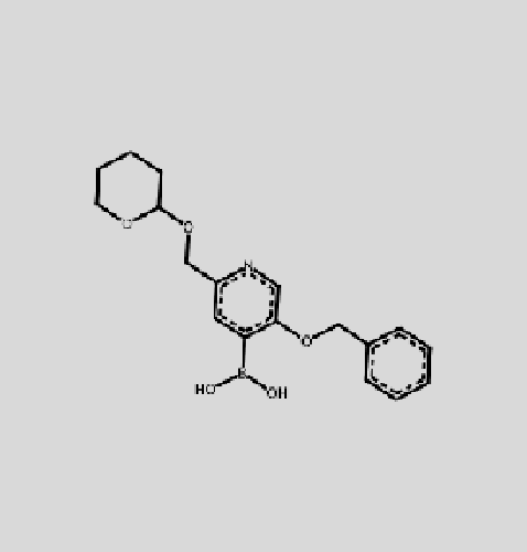 OB(O)c1cc(COC2CCCCO2)ncc1OCc1ccccc1